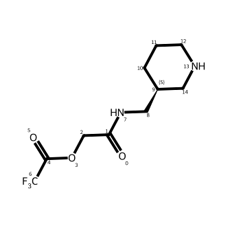 O=C(COC(=O)C(F)(F)F)NC[C@H]1CCCNC1